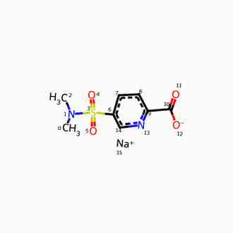 CN(C)S(=O)(=O)c1ccc(C(=O)[O-])nc1.[Na+]